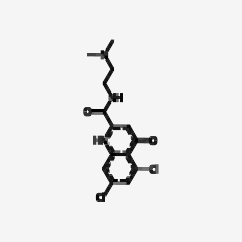 CN(C)CCNC(=O)c1cc(=O)c2c(Cl)cc(Cl)cc2[nH]1